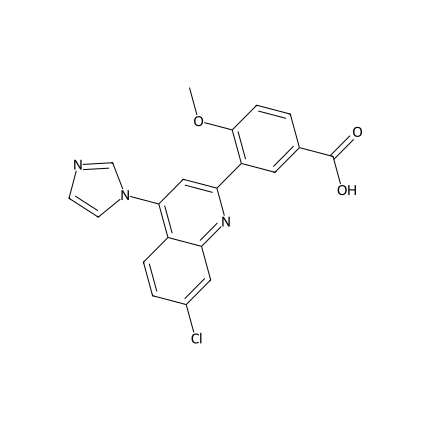 COc1ccc(C(=O)O)cc1-c1cc(-n2ccnc2)c2ccc(Cl)cc2n1